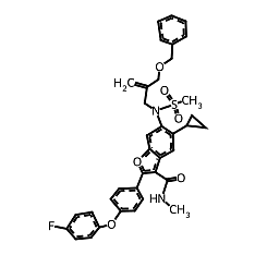 C=C(COCc1ccccc1)CN(c1cc2oc(-c3ccc(Oc4ccc(F)cc4)cc3)c(C(=O)NC)c2cc1C1CC1)S(C)(=O)=O